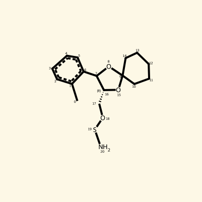 Cc1ccccc1C1OC2(CCCCC2)O[C@@H]1COSN